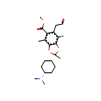 COC(=O)c1c(C)c2c(c(Cl)c1CC=O)OC(C)([C@H]1CC[C@H](N(C)C)CC1)O2